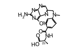 C[C@H](NC(=O)c1ccc(N(C)Cc2cnc3nc(N)nc(O)c3n2)cc1)C(=O)O